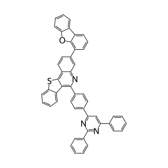 c1ccc(-c2cc(-c3ccc(-c4nc5cc(-c6cccc7c6oc6ccccc67)ccc5c5sc6ccccc6c45)cc3)nc(-c3ccccc3)n2)cc1